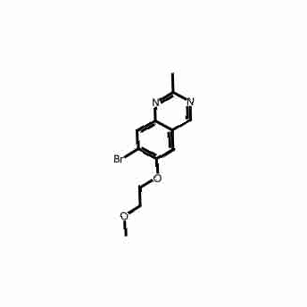 COCCOc1cc2cnc(C)nc2cc1Br